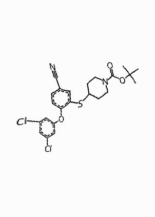 CC(C)(C)OC(=O)N1CCC(Sc2cc(C#N)ccc2Oc2cc(Cl)cc(Cl)c2)CC1